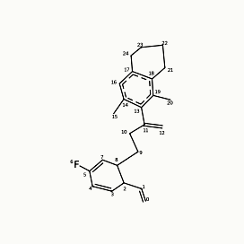 C=CC1C=CC(F)=CC1CCC(=C)c1c(C)cc2c(c1C)CCCC2